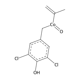 C=[C](C)[Co](=[O])[CH2]c1cc(Cl)c(O)c(Cl)c1